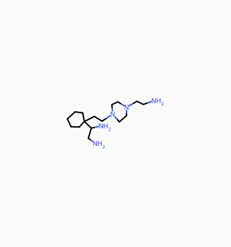 NCCN1CCN(CCC2(C(N)CN)CCCCC2)CC1